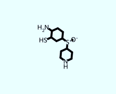 NC1CCC([S+]([O-])C2CCNCC2)CC1S